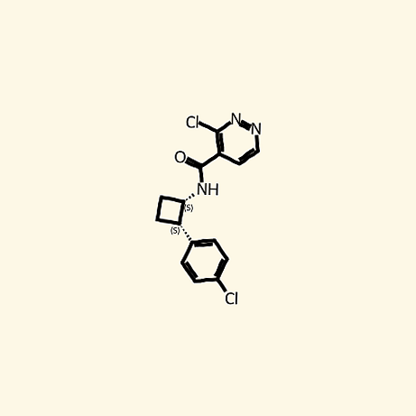 O=C(N[C@H]1CC[C@H]1c1ccc(Cl)cc1)c1ccnnc1Cl